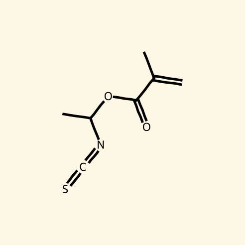 C=C(C)C(=O)O[C](C)N=C=S